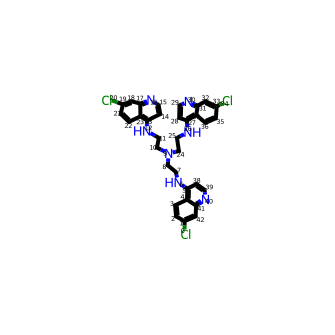 Clc1ccc2c(NCCN(CCNc3ccnc4cc(Cl)ccc34)CCNc3ccnc4cc(Cl)ccc34)ccnc2c1